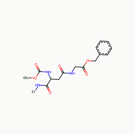 CCNC(=O)C(CC(=O)NCC(=O)OCc1ccccc1)NC(=O)OC(C)(C)C